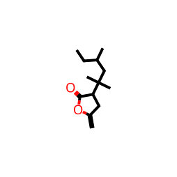 C=C1CC(C(C)(C)CC(C)CC)C(=O)O1